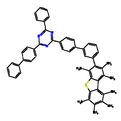 Bc1c(B)c(B)c2c(sc3c(B)c(-c4cccc(-c5ccc(-c6nc(-c7ccccc7)nc(-c7ccc(-c8ccccc8)cc7)n6)cc5)c4)c(B)c(B)c32)c1B